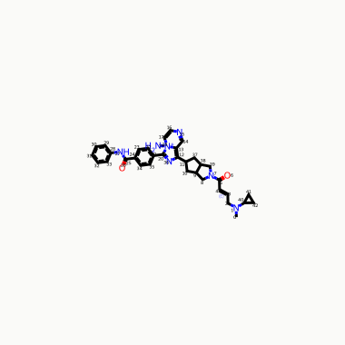 CN(C/C=C/C(=O)N1CC2CC(C3=C4C=NC=C[N+]4(N)C(c4ccc(C(=O)Nc5ccccc5)cc4)=N3)CC2C1)C1CC1